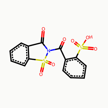 O=C(c1ccccc1S(=O)(=O)O)N1C(=O)c2ccccc2S1(=O)=O